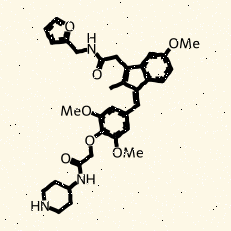 COc1ccc2c(c1)C(CC(=O)NCc1ccco1)=C(C)C2=Cc1cc(OC)c(OCC(=O)NC2CCNCC2)c(OC)c1